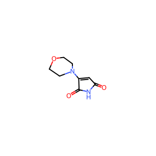 O=C1C=C(N2CCOCC2)C(=O)N1